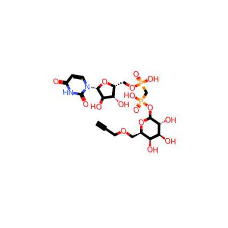 C#CCOC[C@H]1OC(OP(=O)(O)CP(=O)(O)OC[C@H]2O[C@@H](n3ccc(=O)[nH]c3=O)C(O)[C@H]2O)[C@H](O)[C@@H](O)[C@H]1O